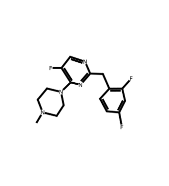 CN1CCN(c2nc(Cc3ccc(F)cc3F)ncc2F)CC1